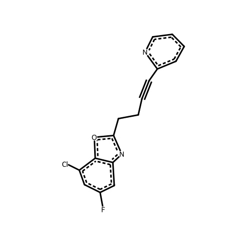 Fc1cc(Cl)c2oc(CCC#Cc3ccccn3)nc2c1